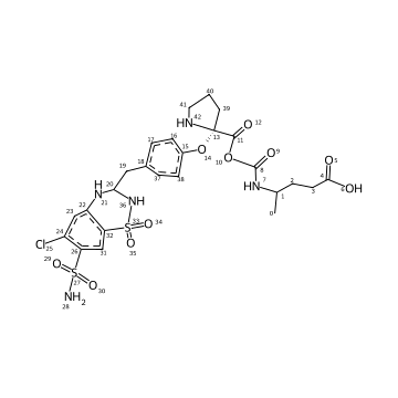 CC(CCC(=O)O)NC(=O)OC(=O)[C@]1(Oc2ccc(CC3Nc4cc(Cl)c(S(N)(=O)=O)cc4S(=O)(=O)N3)cc2)CCCN1